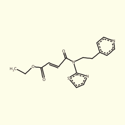 CCOC(=O)/C=C/C(=O)N(CCc1ccncc1)c1nccs1